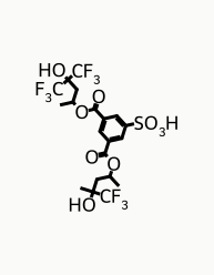 CC(CC(C)(O)C(F)(F)F)OC(=O)c1cc(C(=O)OC(C)CC(O)(C(F)(F)F)C(F)(F)F)cc(S(=O)(=O)O)c1